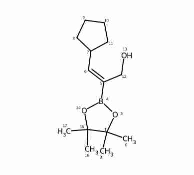 CC1(C)OB(/C(=C/C2CCCC2)CO)OC1(C)C